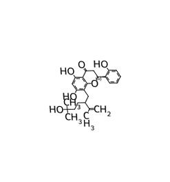 C=C(C)C(CCC(C)(C)O)Cc1c(O)cc(O)c2c1O[C@H](c1ccccc1O)CC2=O